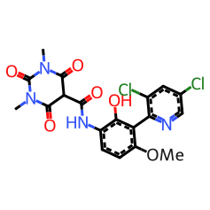 COc1ccc(NC(=O)C2C(=O)N(C)C(=O)N(C)C2=O)c(O)c1-c1ncc(Cl)cc1Cl